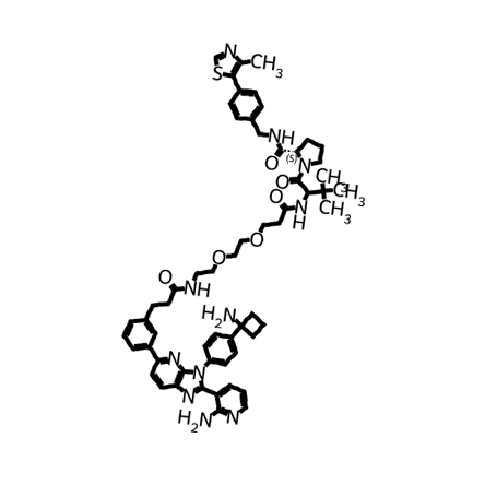 Cc1ncsc1-c1ccc(CNC(=O)[C@@H]2CCCN2C(=O)C(NC(=O)CCOCCOCCNC(=O)CCc2cccc(-c3ccc4nc(-c5cccnc5N)n(-c5ccc(C6(N)CCC6)cc5)c4n3)c2)C(C)(C)C)cc1